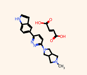 CN1CC2CN(c3ccc(-c4ccc5[nH]ccc5c4)nn3)CC2C1.O=C(O)C=CC(=O)O